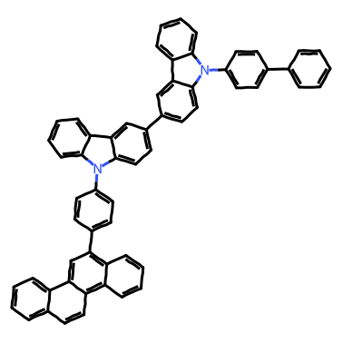 c1ccc(-c2ccc(-n3c4ccccc4c4cc(-c5ccc6c(c5)c5ccccc5n6-c5ccc(-c6cc7c8ccccc8ccc7c7ccccc67)cc5)ccc43)cc2)cc1